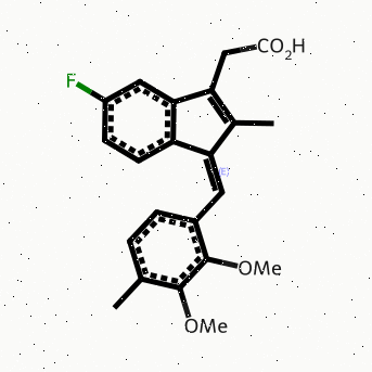 COc1c(C)ccc(/C=C2/C(C)=C(CC(=O)O)c3cc(F)ccc32)c1OC